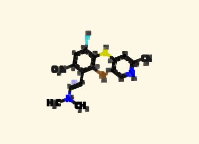 CN(C)/C=C/c1c([N+](=O)[O-])cc(F)c(Sc2ccnc(C#N)c2)c1Br